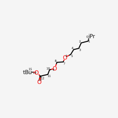 CC(C)CCCCCOCCOCCC(=O)OC(C)(C)C